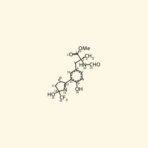 COC(=O)[C@@](C)(Cc1ccc(O)c(C2=NC(O)(C(F)(F)F)CS2)c1)NC=O